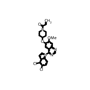 C=CC(=O)N1CCC(Oc2cc3c(-n4ccc5c(Cl)c(Cl)ccc54)ncnc3cc2OC)CC1